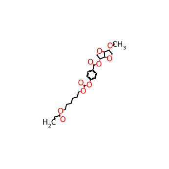 C=CC(=O)OCCCCCCOC(=O)Oc1ccc(C(=O)O[C@H]2COC3C2OC[C@H]3OC)cc1